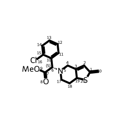 C=C1C=C2CN([C@H](C(=O)OC)c3ccccc3Cl)CCC2S1